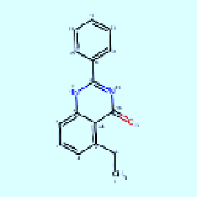 CCc1cccc2[nH]c(-c3ccccc3)nc(=O)c12